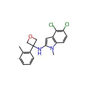 Cc1[c]cccc1C1(Nc2cc3c(Cl)c(Cl)ccc3n2C)COC1